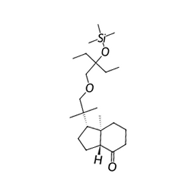 CCC(CC)(COCC(C)(C)[C@H]1CC[C@H]2C(=O)CCC[C@]12C)O[Si](C)(C)C